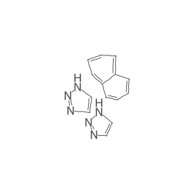 c1c[nH]nn1.c1c[nH]nn1.c1ccc2ccccc2c1